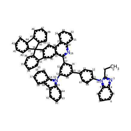 CCc1nc2ccccc2n1-c1ccc(-c2cc(-c3nc4ccccc4c4cc5c(cc34)-c3ccccc3C53c4ccccc4-c4ccccc43)cc(-n3c4ccccc4c4ccccc43)c2)cc1